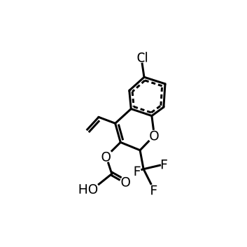 C=CC1=C(OC(=O)O)C(C(F)(F)F)Oc2ccc(Cl)cc21